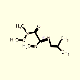 C=N/C(=N\C=C(C)C)C(=O)N(C)OC